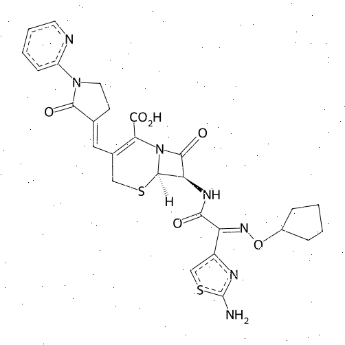 Nc1nc(C(=NOC2CCCC2)C(=O)N[C@@H]2C(=O)N3C(C(=O)O)=C(C=C4CCN(c5ccccn5)C4=O)CS[C@H]23)cs1